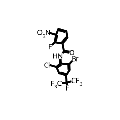 O=C(Nc1c(Cl)cc(C(F)(C(F)(F)F)C(F)(F)F)cc1Br)c1cccc([N+](=O)[O-])c1F